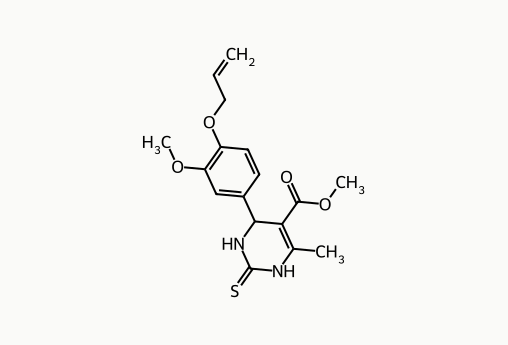 C=CCOc1ccc(C2NC(=S)NC(C)=C2C(=O)OC)cc1OC